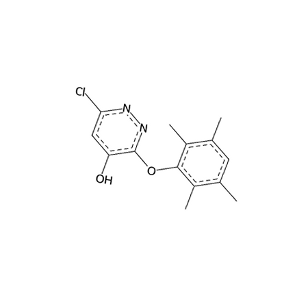 Cc1cc(C)c(C)c(Oc2nnc(Cl)cc2O)c1C